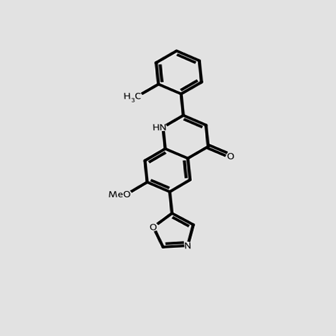 COc1cc2[nH]c(-c3ccccc3C)cc(=O)c2cc1-c1cnco1